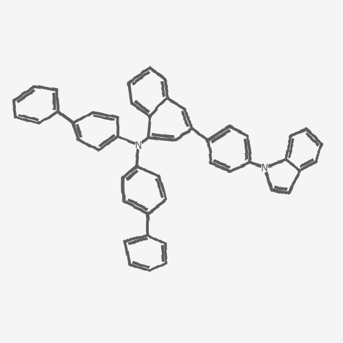 c1ccc(-c2ccc(N(c3ccc(-c4ccccc4)cc3)c3cc(-c4ccc(-n5ccc6ccccc65)cc4)cc4ccccc34)cc2)cc1